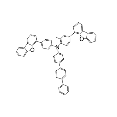 Cc1cc(-c2cccc3c2oc2ccccc23)ccc1N(c1ccc(-c2ccc(-c3ccccc3)cc2)cc1)c1ccc(-c2cccc3c2oc2ccccc23)cc1